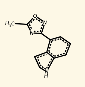 Cc1nc(-c2cccc3[nH]ccc23)no1